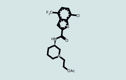 CC(=O)OCCN1CCC[C@@H](NC(=O)c2cc3c(C(F)(F)F)ccc(Cl)c3s2)C1